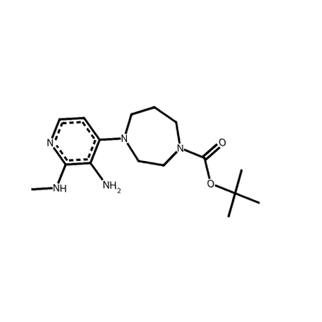 CNc1nccc(N2CCCN(C(=O)OC(C)(C)C)CC2)c1N